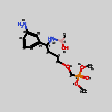 CCOP(=O)(COCCCC(NB(C)O)c1cccc(N)c1)OCC